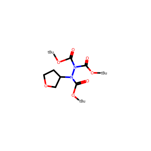 CC(C)(C)OC(=O)N(C(=O)OC(C)(C)C)N(C(=O)OC(C)(C)C)C1CCOC1